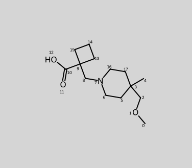 COCC1(C)CCN(CC2(C(=O)O)CCC2)CC1